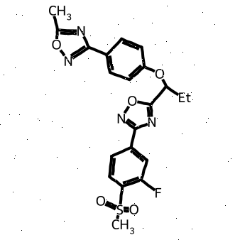 CCC(Oc1ccc(-c2noc(C)n2)cc1)c1nc(-c2ccc(S(C)(=O)=O)c(F)c2)no1